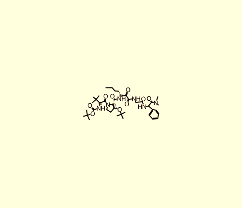 CCCC[C@@H](NC(=O)[C@@H]1[C@@H](OC(C)(C)C)CCN1C(=O)[C@@H](NC(=O)OC(C)(C)C)C(C)(C)C)C(=O)C(=O)NCC(=O)NC(C(=O)N(C)C)c1ccccc1